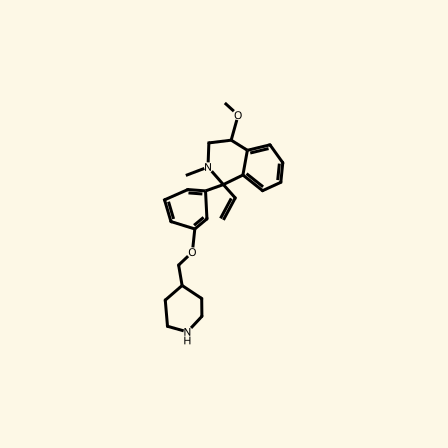 C=CC1(c2cccc(OCC3CCNCC3)c2)c2ccccc2C(OC)CN1C